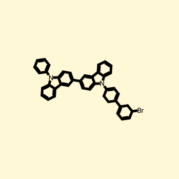 BrC1C=CC=C(C2=CC=C(n3c4ccccc4c4cc(-c5ccc6c(c5)c5ccccc5n6-c5ccccc5)ccc43)CC2)C1